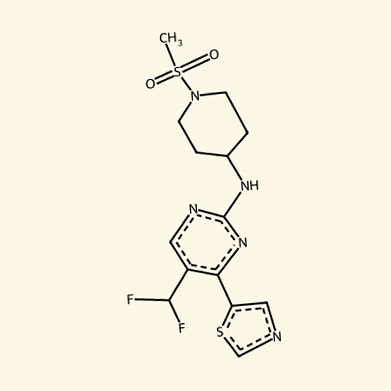 CS(=O)(=O)N1CCC(Nc2ncc(C(F)F)c(-c3cncs3)n2)CC1